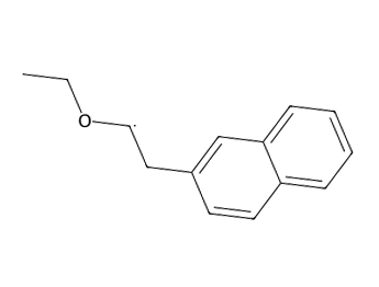 CCO[CH]Cc1ccc2ccccc2c1